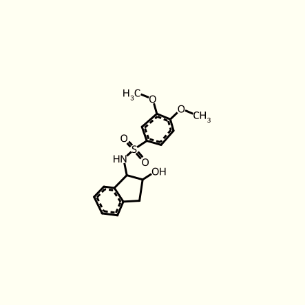 COc1ccc(S(=O)(=O)NC2c3ccccc3CC2O)cc1OC